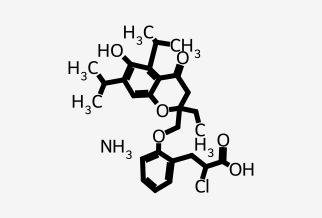 CCC1(COc2ccccc2CC(Cl)C(=O)O)CC(=O)c2c(cc(C(C)C)c(O)c2C(C)C)O1.N